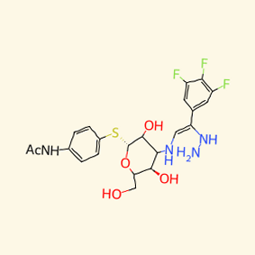 CC(=O)Nc1ccc(S[C@H]2OC(CO)[C@H](O)C(N/C=C(\NN)c3cc(F)c(F)c(F)c3)C2O)cc1